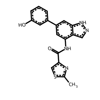 Cc1nc(C(=O)Nc2cc(-c3cccc(O)c3)cc3[nH]ncc23)cs1